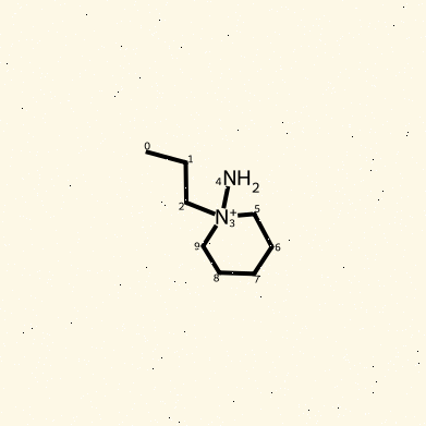 CCC[N+]1(N)CCCCC1